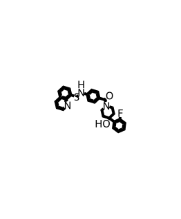 O=C(c1ccc(NSc2cccc3cccnc23)cc1)N1CCC(O)(c2ccccc2F)CC1